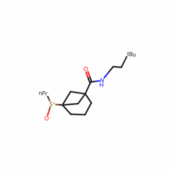 CCC[S+]([O-])C12CCCC(C(=O)NCCC(C)(C)C)(C1)C2